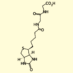 O=C(O)CNC(=O)CNC(=O)CCCC[C@@H]1SC[C@@H]2NC(=O)N[C@@H]21